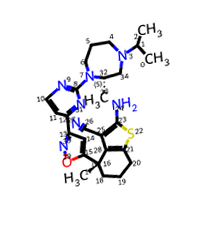 CC(C)N1CCCN(c2nccc(-c3cc([C@@]4(C)CCCc5sc(N)c(C#N)c54)on3)n2)[C@@H](C)C1